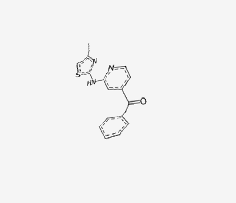 Cc1csc(Nc2cc(C(=O)c3ccccc3)ccn2)n1